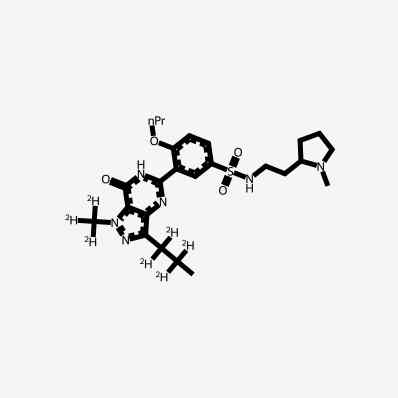 [2H]C([2H])([2H])n1nc(C([2H])([2H])C([2H])([2H])C)c2nc(-c3cc(S(=O)(=O)NCCC4CCCN4C)ccc3OCCC)[nH]c(=O)c21